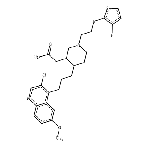 COc1ccc2ncc(Cl)c(CCCC3CCN(CCSc4sccc4F)CC3CC(=O)O)c2c1